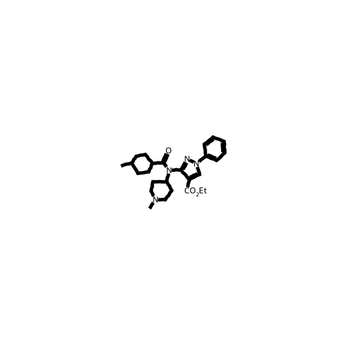 CCOC(=O)c1cn(-c2ccccc2)nc1N(C(=O)C1CCC(C)CC1)C1CCN(C)CC1